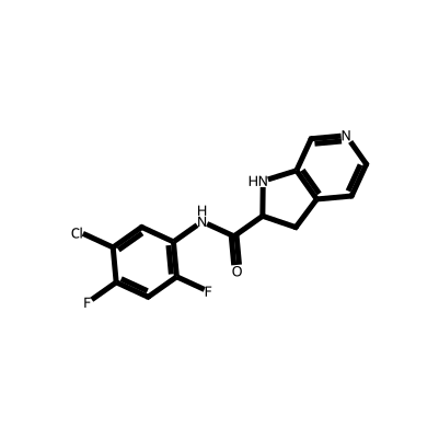 O=C(Nc1cc(Cl)c(F)cc1F)C1Cc2ccncc2N1